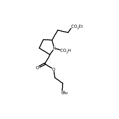 CCOC(=O)CCC1CCC(C(=O)OCCC(C)(C)C)N1C(=O)O